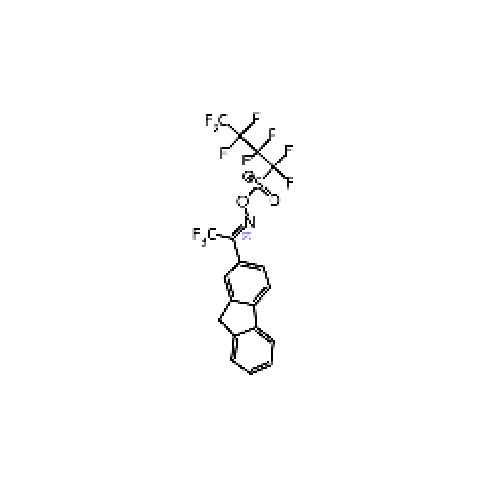 O=S(=O)(O/N=C(/c1ccc2c(c1)Cc1ccccc1-2)C(F)(F)F)C(F)(F)C(F)(F)C(F)(F)C(F)(F)F